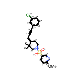 COc1ccc(S(=O)(=O)N2CC/C(=C\C#Cc3cccc(Cl)c3)C(C)(C)C2)cn1